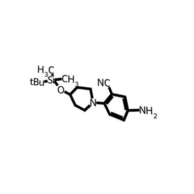 CC(C)(C)[Si](C)(C)OC1CCN(c2ccc(N)cc2C#N)CC1